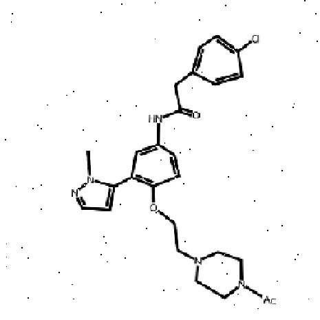 CC(=O)N1CCN(CCOc2ccc(NC(=O)Cc3ccc(Cl)cc3)cc2-c2ccnn2C)CC1